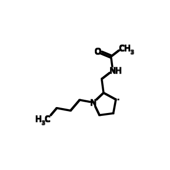 CCCCN1CC[CH]C1CNC(C)=O